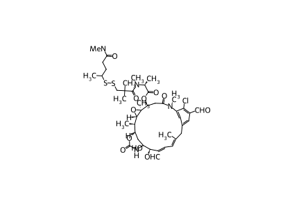 CNC(=O)CCC(C)SSCC(C)(C)C(=O)N(C)[C@@H](C)C(=O)O[C@H]1CC(=O)N(C)c2cc(cc(C=O)c2Cl)C/C(C)=C/C=C/[C@@H](C=O)[C@@]2(O)C[C@H](OC(=O)N2)[C@@H](C)[C@@H]2O[C@@]12C